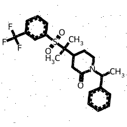 CC(c1ccccc1)N1CCC(C(C)(C)S(=O)(=O)c2cccc(C(F)(F)F)c2)CC1=O